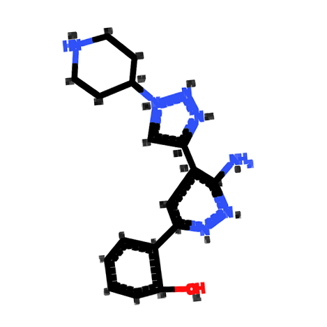 Nc1nnc(-c2ccccc2O)cc1-c1cn(C2CCNCC2)nn1